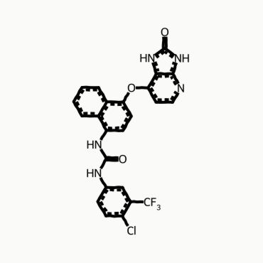 O=C(Nc1ccc(Cl)c(C(F)(F)F)c1)Nc1ccc(Oc2ccnc3[nH]c(=O)[nH]c23)c2ccccc12